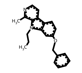 CCCn1c2cc(OCc3ccccc3)ccc2c2ccnc(C)c21